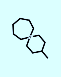 CC1CC[N+]2(CCCCCC2)CC1